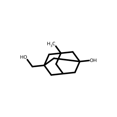 CC12CC3CC(O)(C1)CC(CO)(C3)C2